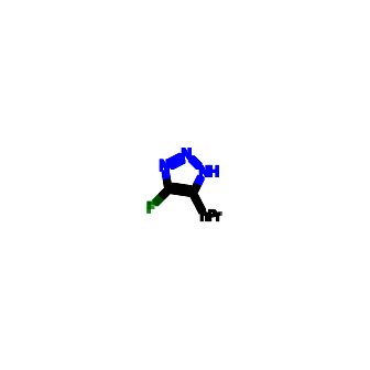 CCCc1[nH]nnc1F